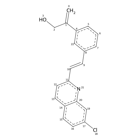 C=C(CO)c1cccc(C=Cc2ccc3ccc(Cl)cc3n2)c1